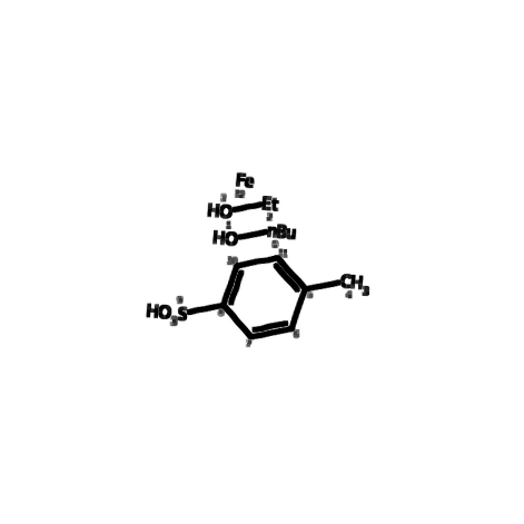 CCCCO.CCO.Cc1ccc(S(=O)(=O)O)cc1.[Fe]